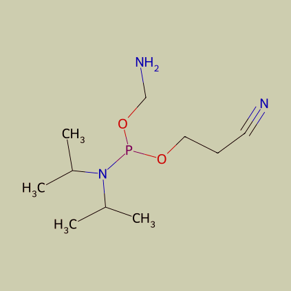 CC(C)N(C(C)C)P(OCN)OCCC#N